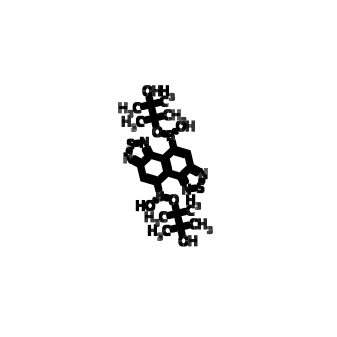 CC(C)(O)C(C)(C)OB(O)c1cc2nsnc2c2c(B(O)OC(C)(C)C(C)(C)O)cc3nsnc3c12